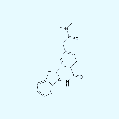 CN(C)C(=O)Cc1ccc2c(=O)[nH]c3c(c2c1)Cc1ccccc1-3